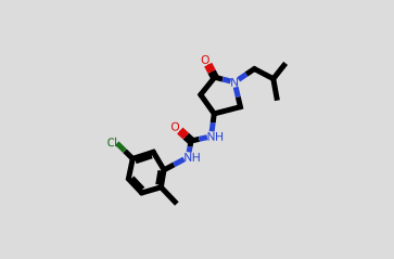 Cc1ccc(Cl)cc1NC(=O)NC1CC(=O)N(CC(C)C)C1